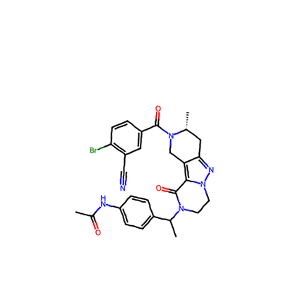 CC(=O)Nc1ccc(C(C)N2CCn3nc4c(c3C2=O)CN(C(=O)c2ccc(Br)c(C#N)c2)[C@H](C)C4)cc1